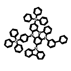 c1ccc(-c2cccc(N3c4ccccc4B4c5cc([Si](c6ccccc6)(c6ccccc6)c6ccccc6)ccc5N(c5ccc([Si](c6ccccc6)(c6ccccc6)c6ccccc6)cc5)c5cc(-n6c7ccccc7c7ccccc76)cc3c54)c2)cc1